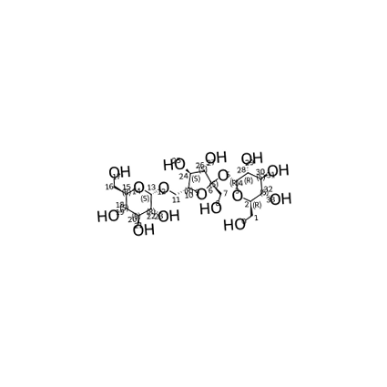 OC[C@H]1O[C@H](O[C@]2(CO)O[C@H](CO[C@H]3O[C@H](CO)[C@@H](O)[C@H](O)[C@H]3O)[C@@H](O)[C@@H]2O)[C@H](O)[C@@H](O)[C@@H]1O